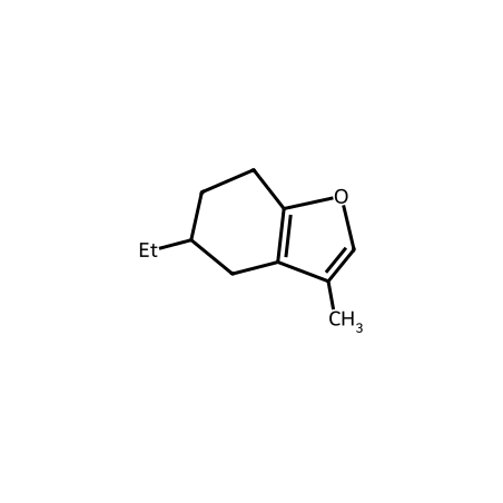 CCC1CCc2occ(C)c2C1